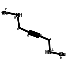 CC(C)(C)NCC#CCNC(C)(C)C